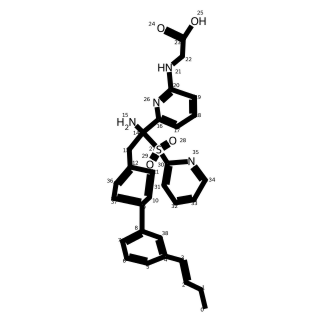 CCC=Cc1cccc(-c2ccc(CC(N)(c3cccc(NCC(=O)O)n3)S(=O)(=O)c3ccccn3)cc2)c1